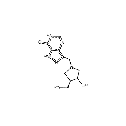 O=c1[nH]cnc2c(CN3CC(O)[C@@H](CO)C3)n[nH]c12